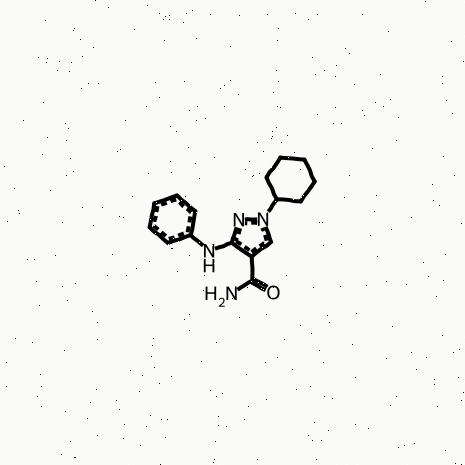 NC(=O)c1cn(C2CCCCC2)nc1Nc1ccccc1